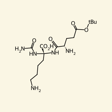 CC(C)(C)OC(=O)CC[C@H](N)C(=O)N[C@](CCCCN)(NC(N)=O)C(=O)O